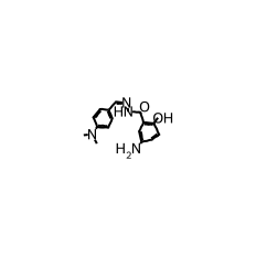 CN(C)c1ccc(/C=N\NC(=O)c2cc(N)ccc2O)cc1